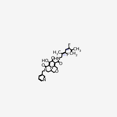 C=C(C)/C(F)=C\C(F)=C(/C)CNC(=O)c1c2n3c(c(O)c1=O)C(=O)N(Cc1cccnc1)CC3COC2